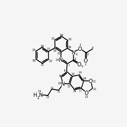 CC(=O)On1c(=O)c(-c2cn(CCCN)c3cc4c(cc23)OCO4)nc2c(-c3ccccc3)cccc21